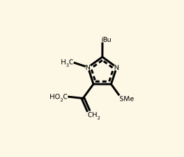 C=C(C(=O)O)c1c(SC)nc(C(C)CC)n1C